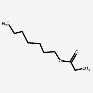 [CH2]CC(=O)OCCCCCCC